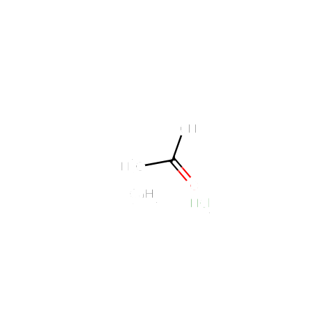 CC(C)=O.Cl.[CaH2]